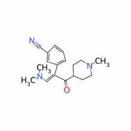 CN(C)/C=C(/C(=O)C1CCN(C)CC1)c1cccc(C#N)c1